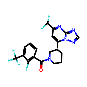 O=C(c1cccc(C(F)(F)F)c1F)N1CCC[C@H](c2cc(C(F)F)nc3ncnn23)C1